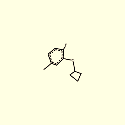 Cc1ccc(F)c(OC2CCC2)c1